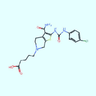 NC(=O)c1c(NC(=O)Nc2ccc(Cl)cc2)sc2c1CCN(CCCCC(=O)O)C2